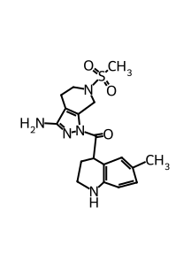 Cc1ccc2c(c1)C(C(=O)n1nc(N)c3c1CN(S(C)(=O)=O)CC3)CCN2